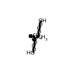 CC(COc1cc(OCCOCCOCCO)ccc1C(C)c1ccccc1)OCCOCCOCCOCCO